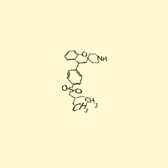 CCC(CC)CS(=O)(=O)c1ccc(C2=CC3(CCNCC3)Oc3ccccc32)cc1